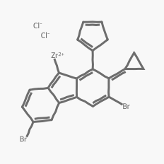 Brc1ccc2c(c1)=c1cc(Br)c(=C3CC3)c(C3=CC=CC3)c1[C]=2[Zr+2].[Cl-].[Cl-]